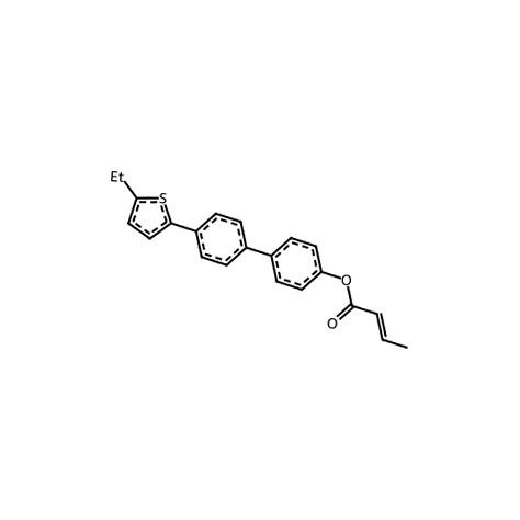 C/C=C/C(=O)Oc1ccc(-c2ccc(-c3ccc(CC)s3)cc2)cc1